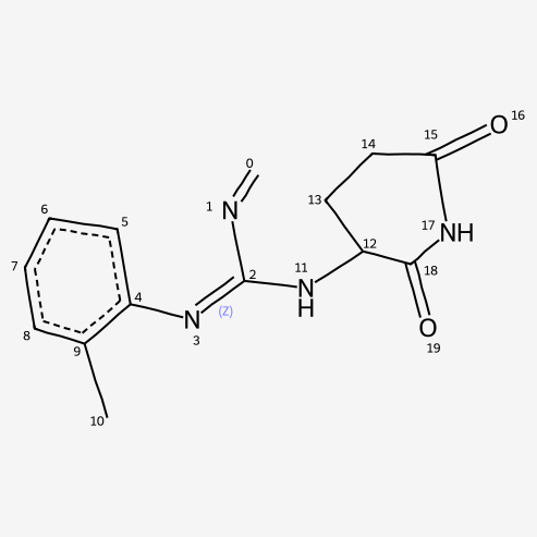 C=N/C(=N\c1ccccc1C)NC1CCC(=O)NC1=O